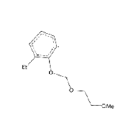 CCc1ccc[c]c1OCOCCOC